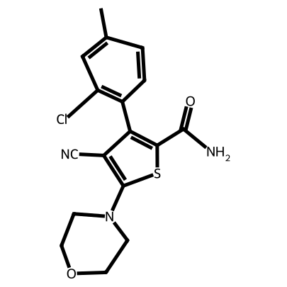 Cc1ccc(-c2c(C(N)=O)sc(N3CCOCC3)c2C#N)c(Cl)c1